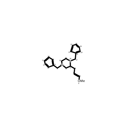 COC=CCC1CN(Cc2ccccc2)CCN1Cc1ccccc1